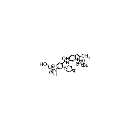 Cc1cc2ccc(NC(=O)c3ccc(NS(=O)(=O)CCO)cc3N3CCC4(CC3)CC4)cc2n1S(=O)(=O)C(C)(C)C